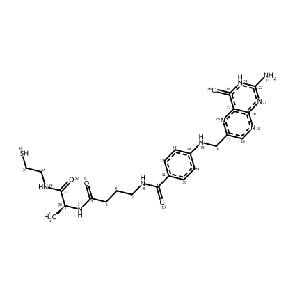 C[C@H](NC(=O)CCCNC(=O)c1ccc(NCc2cnc3nc(N)[nH]c(=O)c3n2)cc1)C(=O)NCCS